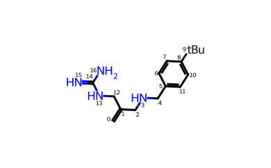 C=C(CNCc1ccc(C(C)(C)C)cc1)CNC(=N)N